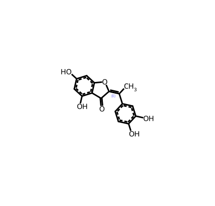 C/C(=C1\Oc2cc(O)cc(O)c2C1=O)c1ccc(O)c(O)c1